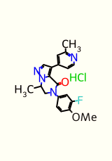 COc1ccc(N2CC(C)n3ncc(-c4ccnc(C)c4)c3C2=O)cc1F.Cl